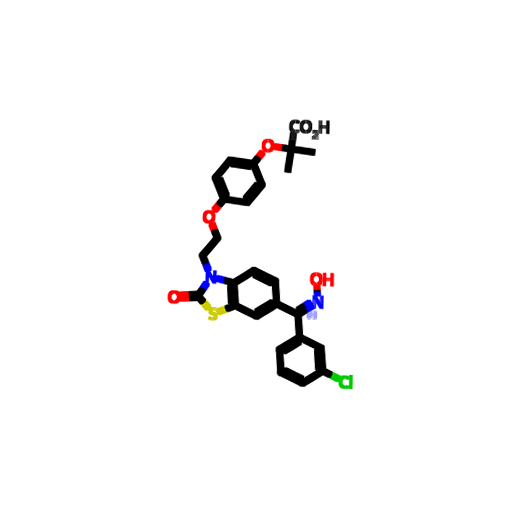 CC(C)(Oc1ccc(OCCn2c(=O)sc3cc(/C(=N\O)c4cccc(Cl)c4)ccc32)cc1)C(=O)O